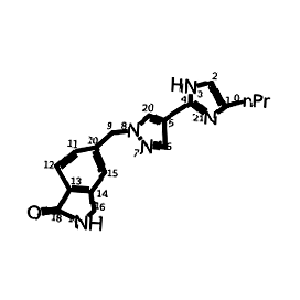 CCCc1c[nH]c(-c2cnn(Cc3ccc4c(c3)CNC4=O)c2)n1